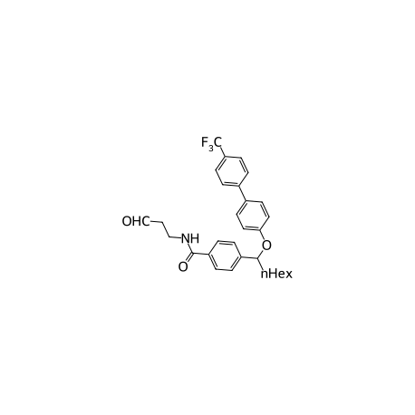 CCCCCCC(Oc1ccc(-c2ccc(C(F)(F)F)cc2)cc1)c1ccc(C(=O)NCCC=O)cc1